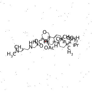 CC(=O)O[C@@H]1C[C@]23COC[C@@](C)([C@@H]2CC[C@H]2C3=CC[C@@]3(C)[C@H](C(=O)O)[C@@](C)([C@H](C)C(C)C)CC[C@]23C)[C@H]1OC(=O)CNCCCN(C)C